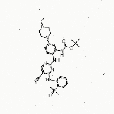 CCN1CCN(c2ccc(Nc3ncc(C#N)c(Nc4ccccc4P(C)(C)=O)n3)c(NC(=O)OC(C)(C)C)c2)CC1